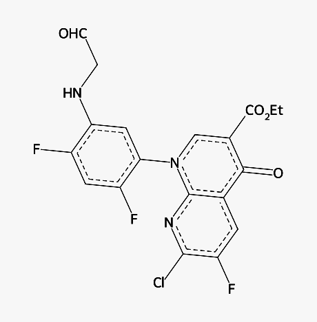 CCOC(=O)c1cn(-c2cc(NCC=O)c(F)cc2F)c2nc(Cl)c(F)cc2c1=O